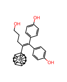 OCCCC(=C(c1ccc(O)cc1)c1ccc(O)cc1)[C]12[CH]3[CH]4[CH]5[CH]1[Fe]45321678[CH]2[CH]1[CH]6[CH]7[CH]28